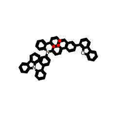 c1ccc(-c2ccccc2N(c2ccc(-c3ccccc3-n3c4ccccc4c4ccccc43)cc2)c2ccc3c(ccc4cc(-c5cccc6c5oc5ccccc56)ccc43)c2)cc1